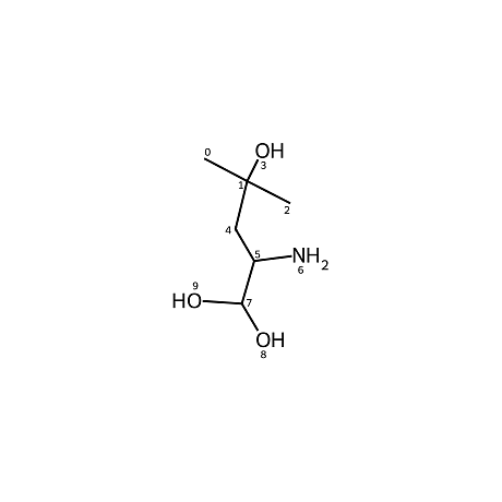 CC(C)(O)CC(N)C(O)O